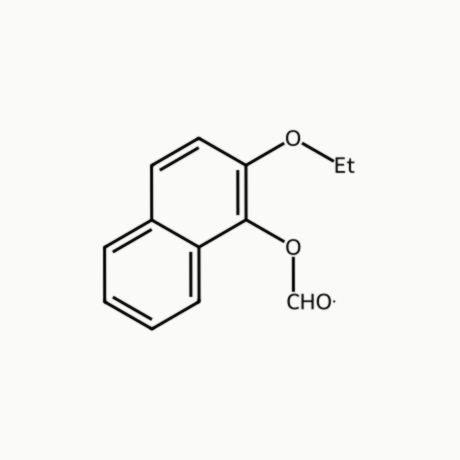 CCOc1ccc2ccccc2c1O[C]=O